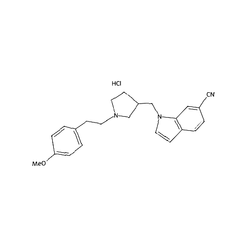 COc1ccc(CCN2CCC(Cn3ccc4ccc(C#N)cc43)C2)cc1.Cl